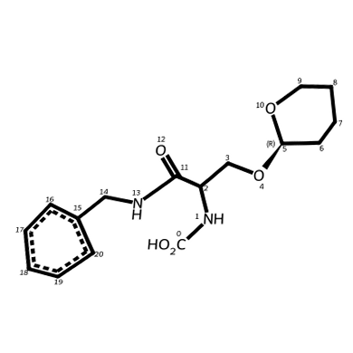 O=C(O)NC(CO[C@@H]1CCCCO1)C(=O)NCc1ccccc1